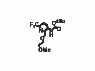 COCCOCc1nc(C(F)(F)F)ccc1NC(=O)OC(C)(C)C